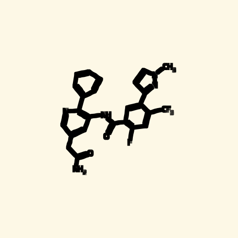 Cn1ccc(-c2cc(C(=O)Nc3cc(CC(N)=O)cnc3-c3ccccc3)c(F)cc2C(F)(F)F)n1